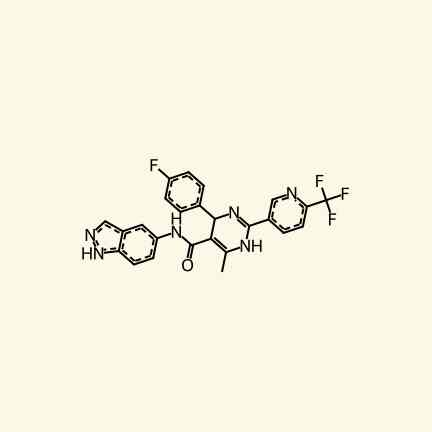 CC1=C(C(=O)Nc2ccc3[nH]ncc3c2)C(c2ccc(F)cc2)N=C(c2ccc(C(F)(F)F)nc2)N1